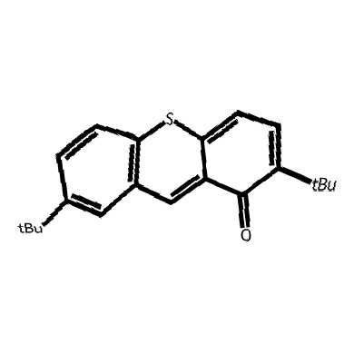 CC(C)(C)c1ccc2sc3ccc(C(C)(C)C)c(=O)c-3cc2c1